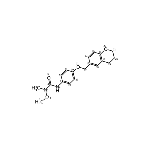 CON(C)C(=O)Nc1ccc(OCc2ccc3c(c2)CCCO3)cc1